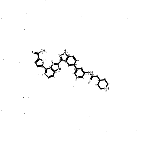 CC(=O)c1ccc(-c2nccc3[nH]c(-c4n[nH]c5ccc(-c6cncc(NC(=O)CC7CCNCC7)c6)cc45)nc23)s1